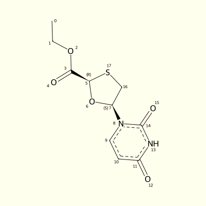 CCOC(=O)[C@@H]1O[C@H](n2ccc(=O)[nH]c2=O)CS1